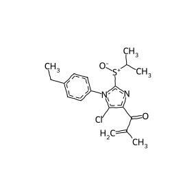 C=C(C)C(=O)c1nc([S+]([O-])C(C)C)n(-c2ccc(CC)cc2)c1Cl